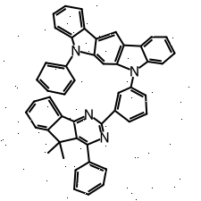 CC1(C)c2ccccc2-c2nc(-c3cccc(-n4c5ccccc5c5cc6c7ccccc7n(-c7ccccc7)c6cc54)c3)nc(-c3ccccc3)c21